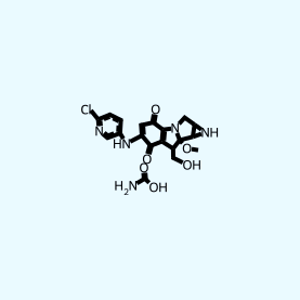 COC12C(CO)C3=C(C(=O)C=C(Nc4ccc(Cl)nc4)C3=O)N1CC1NC12.NC(=O)O